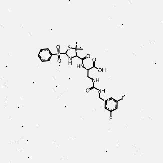 CC1(C)SC(S(=O)(=O)c2ccccc2)NC1C(=O)NC(CNC(=O)NCc1cc(F)cc(F)c1)C(=O)O